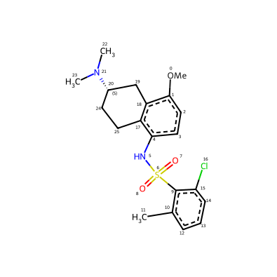 COc1ccc(NS(=O)(=O)c2c(C)cccc2Cl)c2c1C[C@@H](N(C)C)CC2